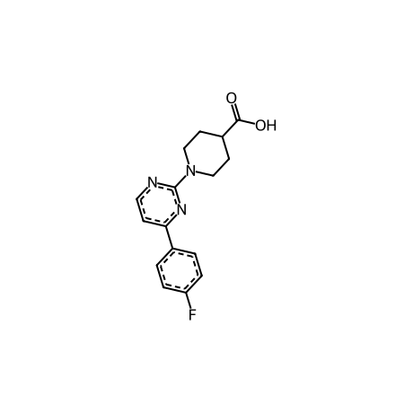 O=C(O)C1CCN(c2nccc(-c3ccc(F)cc3)n2)CC1